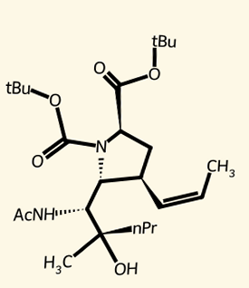 C/C=C\[C@@H]1C[C@H](C(=O)OC(C)(C)C)N(C(=O)OC(C)(C)C)[C@H]1[C@@H](NC(C)=O)[C@@](C)(O)CCC